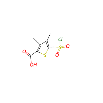 Cc1c(C(=O)O)sc(S(=O)(=O)Cl)c1C